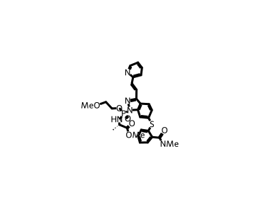 CNC(=O)c1ccccc1Sc1ccc2c(/C=C/c3ccccn3)nn(P(=O)(N[C@@H](C)C(=O)OC)OCCOC)c2c1